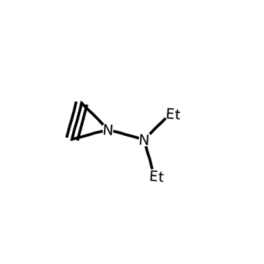 CCN(CC)N1C#C1